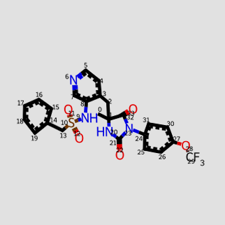 CC1(Cc2ccncc2NS(=O)(=O)Cc2ccccc2)NC(=O)N(c2ccc(OC(F)(F)F)cc2)C1=O